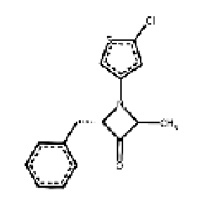 CC1C(=O)[C@H](Cc2ccccc2)N1c1csc(Cl)c1